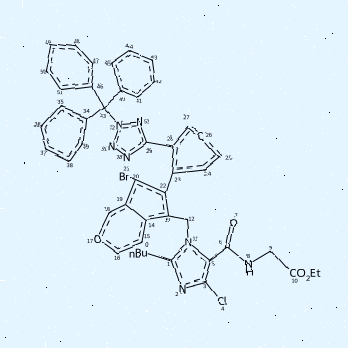 CCCCc1nc(Cl)c(C(=O)NCC(=O)OCC)n1Cc1c2ccocc-2c(Br)c1-c1ccccc1-c1nnn(C(c2ccccc2)(c2ccccc2)c2ccccc2)n1